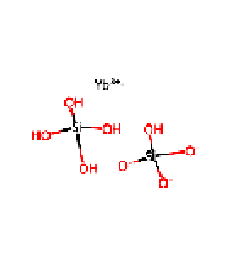 O[Si](O)(O)O.[O-][Si]([O-])([O-])O.[Yb+3]